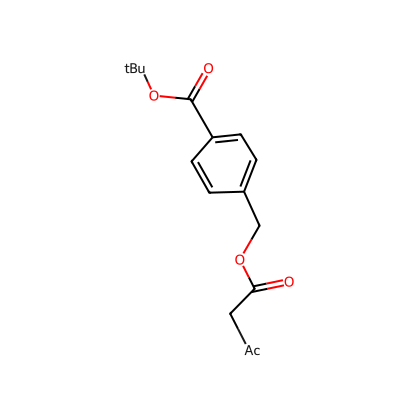 CC(=O)CC(=O)OCc1ccc(C(=O)OC(C)(C)C)cc1